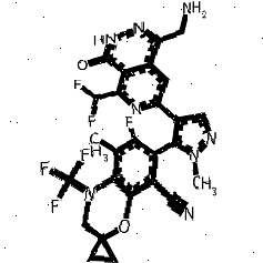 Cc1c(F)c(-c2c(-c3cc4c(CN)n[nH]c(=O)c4c(C(F)F)n3)cnn2C)c(C#N)c2c1N(C(F)(F)F)CC1(CC1)O2